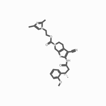 COc1ccccc1[C@@H](C)CC(=O)Nc1sc2c(c1C#N)CCN(C(=O)OCCn1cc(C)nc1C)C2